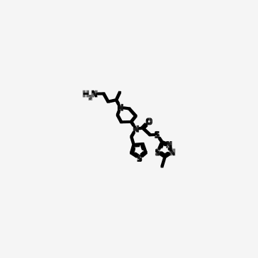 Cc1nnc(SCC(=O)N(Cc2ccsc2)C2CCN(C(C)CCN)CC2)s1